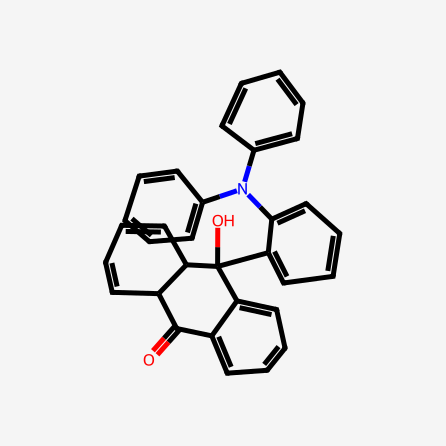 O=C1c2ccccc2C(O)(c2ccccc2N(c2ccccc2)c2ccccc2)C2C=CC=CC12